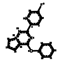 Fc1ccc(-c2nc(Oc3ccccc3)c3cccn3n2)nc1